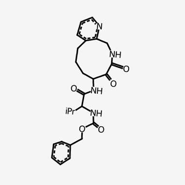 CC(C)C(NC(=O)OCc1ccccc1)C(=O)NC1CCCc2cccnc2CNC(=O)C1=O